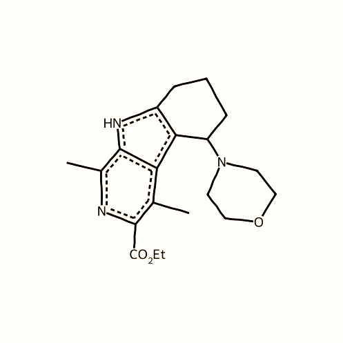 CCOC(=O)c1nc(C)c2[nH]c3c(c2c1C)C(N1CCOCC1)CCC3